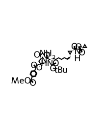 COC(=O)c1ccc(C(=O)O[C@@H]2C[C@@H](C(N)=O)N(C(=O)[C@H](CCCCC/C=C\[C@@H]3C[C@@H]3C(=O)NS(=O)(=O)C3CC3)NC(=O)OC(C)(C)C)C2)cc1